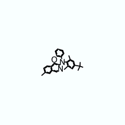 Cc1ccc2c3c(ncc2c1)N(c1c(C)cc(C(C)(C)C)cc1C)c1ccccc1O3